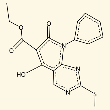 CCOC(=O)c1c(O)c2cnc(SC)nc2n(-c2ccccc2)c1=O